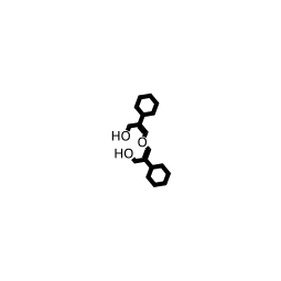 OCC(=COC=C(CO)C1CCCCC1)C1CCCCC1